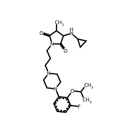 CC(C)Oc1c(F)cccc1N1CCN(CCCN2C(=O)C(C)C(NC3CC3)C2=O)CC1